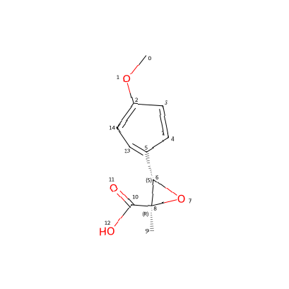 COc1ccc([C@@H]2O[C@@]2(C)C(=O)O)cc1